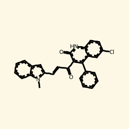 Cn1c(C=CC(=O)c2c(-c3ccccc3)c3cc(Cl)ccc3[nH]c2=O)cc2ccccc21